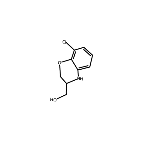 OCC1COc2c(Cl)cccc2N1